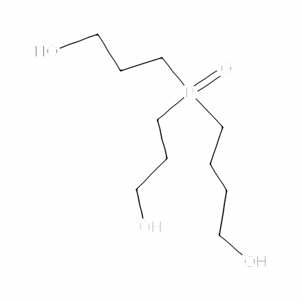 O=P(CCCO)(CCCO)CCCCO